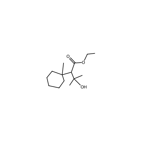 CCOC(=O)C(C(C)(C)O)C1(C)CCCCC1